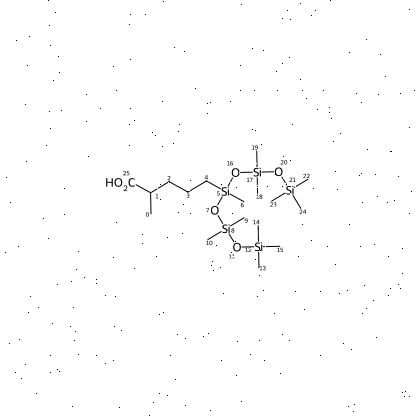 CC(CCC[Si](C)(O[Si](C)(C)O[Si](C)(C)C)O[Si](C)(C)O[Si](C)(C)C)C(=O)O